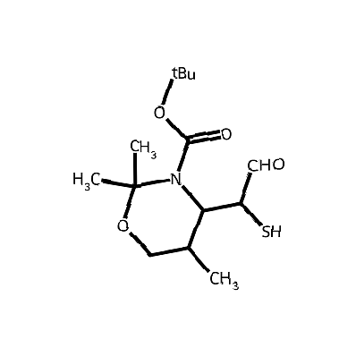 CC1COC(C)(C)N(C(=O)OC(C)(C)C)C1C(S)C=O